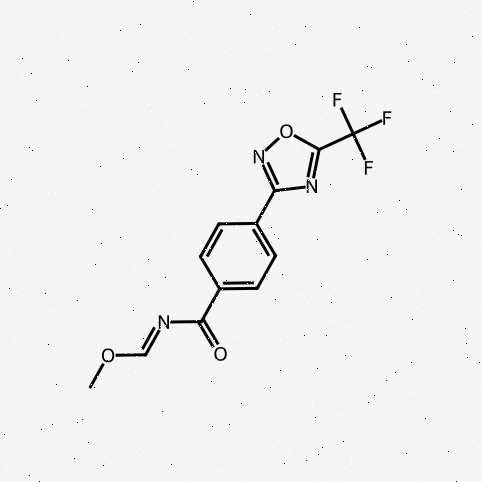 CO/C=N/C(=O)c1ccc(-c2noc(C(F)(F)F)n2)cc1